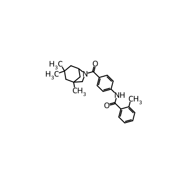 Cc1ccccc1C(=O)Nc1ccc(C(=O)N2CC3(C)CC2CC(C)(C)C3)cc1